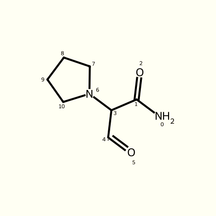 NC(=O)C([C]=O)N1CCCC1